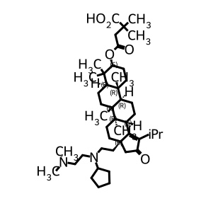 CC(C)C1=C2[C@H]3CC[C@@H]4[C@@]5(C)CC[C@H](OC(=O)CC(C)(C)C(=O)O)C(C)(C)[C@@H]5CC[C@@]4(C)[C@]3(C)CC[C@@]2(CCN(CCN(C)C)C2CCCC2)CC1=O